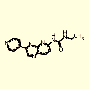 CCNC(=O)Nc1ccc2ncc(-c3ccncc3)nc2n1